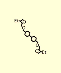 CCC1COC1COCC1CCC(C2CCC(COCC3OCC3CC)CC2)CC1